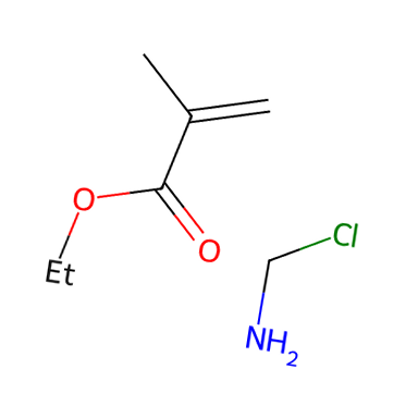 C=C(C)C(=O)OCC.NCCl